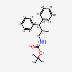 CC(CNC(=O)OC(C)(C)C)C(c1ccccc1)c1ccccc1